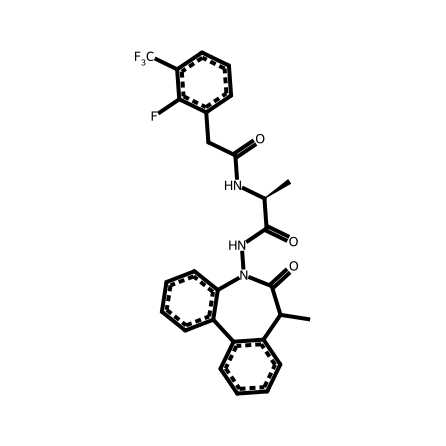 CC1C(=O)N(NC(=O)[C@H](C)NC(=O)Cc2cccc(C(F)(F)F)c2F)c2ccccc2-c2ccccc21